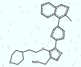 COCc1cnn(-c2ccc(-c3c(C)ccc4ccccc34)cc2)c1OCCN1CCOCC1